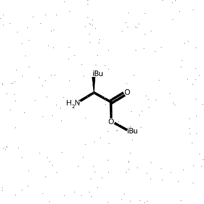 CCC(C)OC(=O)[C@@H](N)C(C)CC